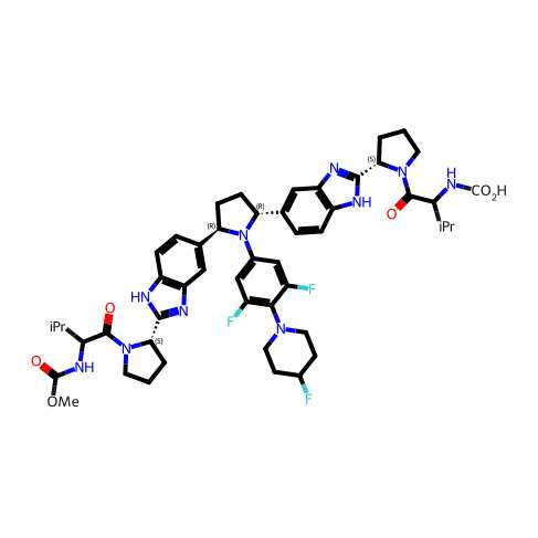 COC(=O)NC(C(=O)N1CCC[C@H]1c1nc2cc([C@H]3CC[C@H](c4ccc5[nH]c([C@@H]6CCCN6C(=O)C(NC(=O)O)C(C)C)nc5c4)N3c3cc(F)c(N4CCC(F)CC4)c(F)c3)ccc2[nH]1)C(C)C